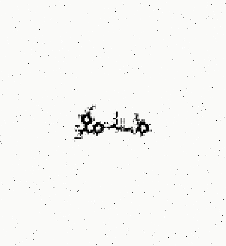 COC(=O)/C(=C/c1ccc(OCC(O)CNCCOc2ccccc2OC)cc1)c1ccc(OC)cc1